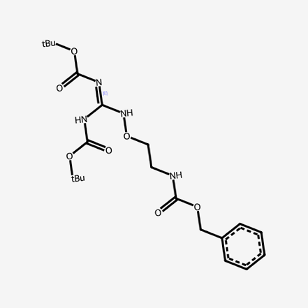 CC(C)(C)OC(=O)/N=C(/NOCCNC(=O)OCc1ccccc1)NC(=O)OC(C)(C)C